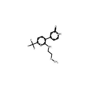 COCCNc1nc(C(F)(F)F)ccc1-c1cc[nH]c(=O)c1